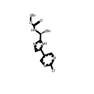 CC(C)(C)OC(=O)N[C@H](c1ncc(-c2cnc(Cl)nc2)[nH]1)C(C)(C)C